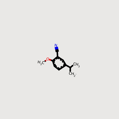 [CH2]C(C)c1ccc(OC)c(C#N)c1